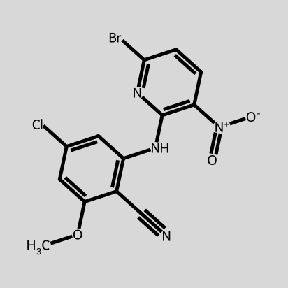 COc1cc(Cl)cc(Nc2nc(Br)ccc2[N+](=O)[O-])c1C#N